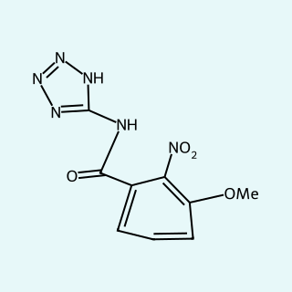 COc1cccc(C(=O)Nc2nnn[nH]2)c1[N+](=O)[O-]